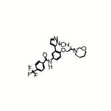 Cn1nccc1-c1cc(NC(=O)c2ccc(C(F)(F)F)cc2)ccc1OCCN1CCCCOC1